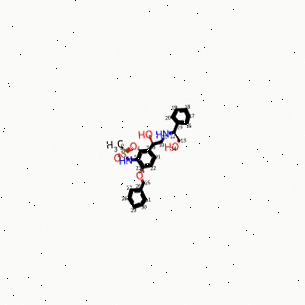 CS(=O)(=O)Nc1cc([C@@H](O)CN[C@H](CO)c2ccccc2)ccc1OCc1ccccc1